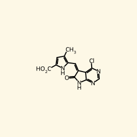 Cc1cc(C(=O)O)[nH]c1C=C1C(=O)Nc2ncnc(Cl)c21